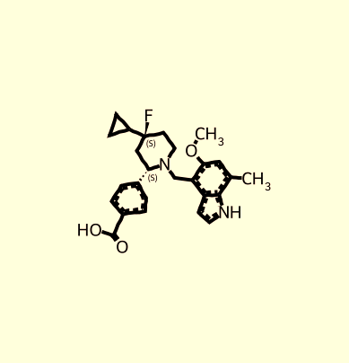 COc1cc(C)c2[nH]ccc2c1CN1CC[C@@](F)(C2CC2)C[C@H]1c1ccc(C(=O)O)cc1